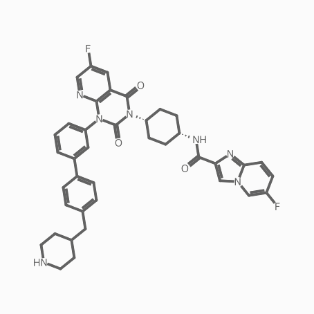 O=C(N[C@H]1CC[C@@H](n2c(=O)c3cc(F)cnc3n(-c3cccc(-c4ccc(CC5CCNCC5)cc4)c3)c2=O)CC1)c1cn2cc(F)ccc2n1